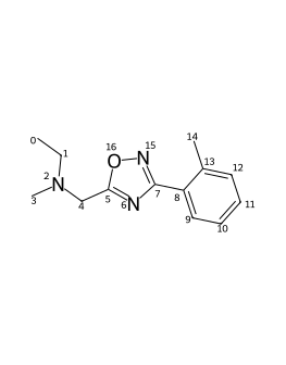 CCN(C)Cc1nc(-c2ccccc2C)no1